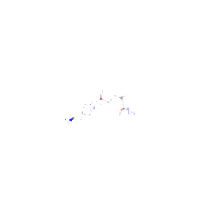 C[C@H](C[CH]C(=O)N1CC(C#N)C1)C(N)=O